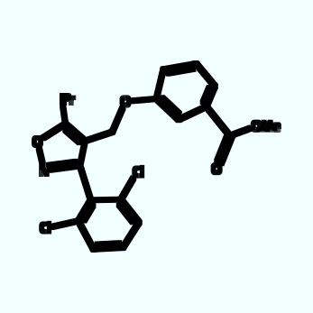 COC(=O)c1cccc(OCc2c(-c3c(Cl)cccc3Cl)noc2C(C)C)c1